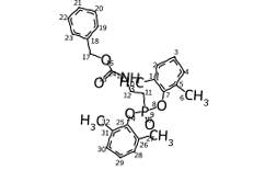 Cc1cccc(C)c1OP(=O)(CCNC(=O)OCc1ccccc1)Oc1c(C)cccc1C